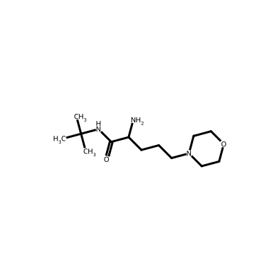 CC(C)(C)NC(=O)C(N)CCCN1CCOCC1